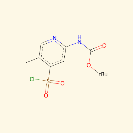 Cc1cnc(NC(=O)OC(C)(C)C)cc1S(=O)(=O)Cl